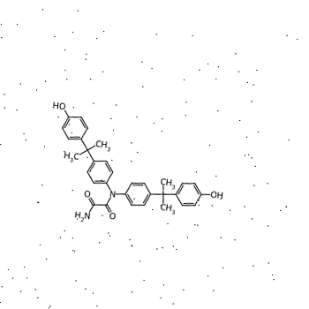 CC(C)(c1ccc(O)cc1)c1ccc(N(C(=O)C(N)=O)c2ccc(C(C)(C)c3ccc(O)cc3)cc2)cc1